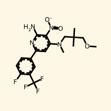 COCC(C)(C)CN(C)c1cc(-c2ccc(F)c(C(F)(F)F)c2)nc(N)c1[N+](=O)[O-]